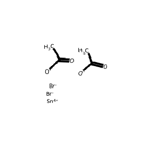 CC(=O)[O-].CC(=O)[O-].[Br-].[Br-].[Sn+4]